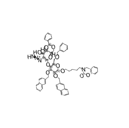 N=[N+]=N[C@H]1[C@@H](O[C@@H]2[C@H](OCc3ccc4ccccc4c3)[C@@H](OCc3ccc4ccccc4c3)[C@@H](OCCCCCN(Cc3ccccc3)C(=O)[O-])O[C@@H]2COCc2ccccc2)O[C@@H]2CO[C@H](c3ccccc3)O[C@@H]2[C@@H]1O